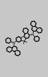 CC1(C)c2cc(N(c3ccccc3)c3cc4ccccc4c4ccccc34)ccc2-c2c1cc(N(c1ccccc1)c1cc3ccccc3c3ccccc13)c1ccccc21